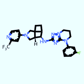 Fc1cccc(N2CCCn3nc(N[C@@H]4C5CCC56CN(c5ccnc(C(F)(F)F)c5)C[C@@H]46)nc32)c1